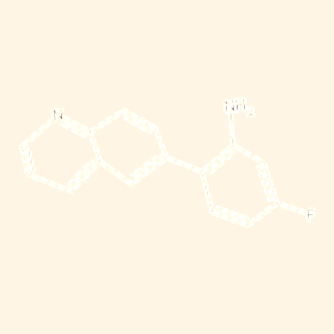 Nc1cc(F)ccc1-c1ccc2ncccc2c1